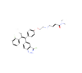 CCC(=C(c1ccc(OCCNCC=CC(=O)N(C)C)cc1)c1ccc2[nH]nc(F)c2c1)c1ccccc1F